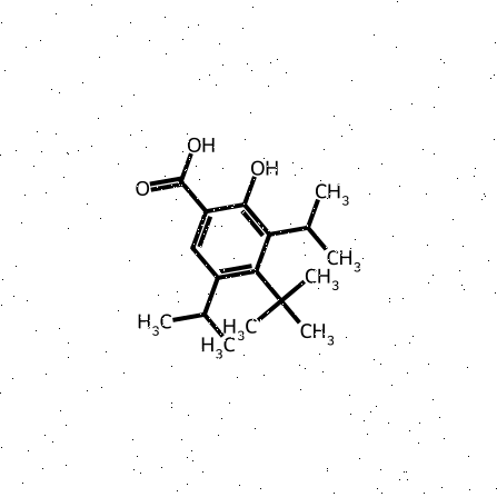 CC(C)c1cc(C(=O)O)c(O)c(C(C)C)c1C(C)(C)C